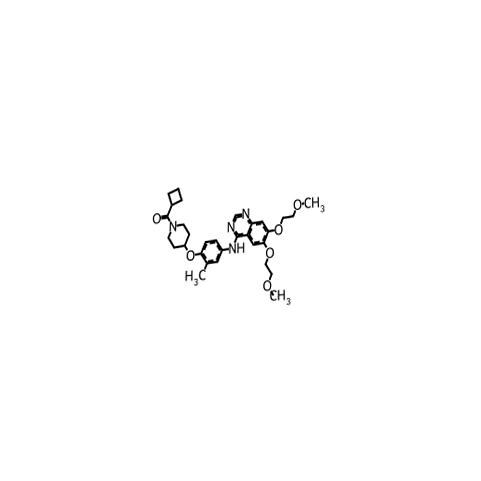 COCCOc1cc2ncnc(Nc3ccc(OC4CCN(C(=O)C5CCC5)CC4)c(C)c3)c2cc1OCCOC